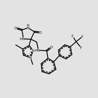 Cc1cn(C)nc1C1(CNC(=O)c2ccccc2-c2ccc(C(F)(F)F)cc2)NC(=O)NC1=O